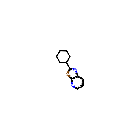 c1cnc2sc(C3CCCCC3)nc2c1